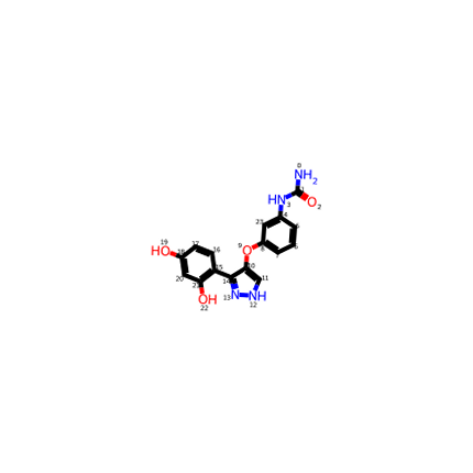 NC(=O)Nc1cccc(Oc2c[nH]nc2-c2ccc(O)cc2O)c1